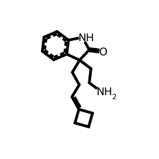 NCCC1(CCC=C2CCC2)C(=O)Nc2ccccc21